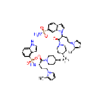 N#Cc1cccn1CCC(C(=O)N1CCC(C(F)(F)F)CC1)n1ccc2ccc(S(N)(=O)=O)cc21.N#Cc1cccn1CCC(NS(=O)(=O)c1cccc2[nH]ccc12)C(=O)N1CCC(C(F)(F)F)CC1